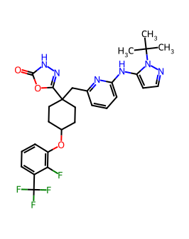 CC(C)(C)n1nccc1Nc1cccc(CC2(c3n[nH]c(=O)o3)CCC(Oc3cccc(C(F)(F)F)c3F)CC2)n1